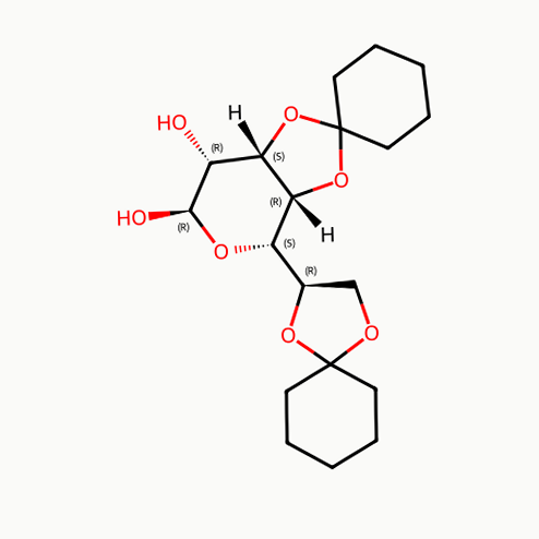 O[C@@H]1[C@@H]2OC3(CCCCC3)O[C@@H]2[C@H]([C@H]2COC3(CCCCC3)O2)O[C@H]1O